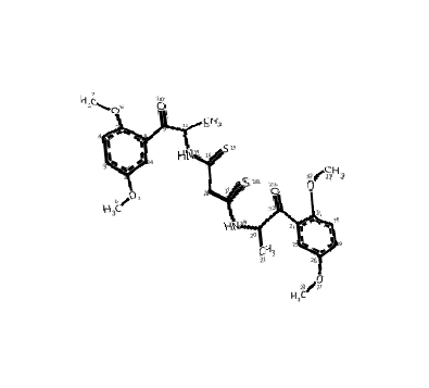 COc1ccc(OC)c(C(=O)C(C)NC(=S)CC(=S)NC(C)C(=O)c2cc(OC)ccc2OC)c1